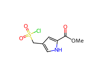 COC(=O)c1cc(CS(=O)(=O)Cl)c[nH]1